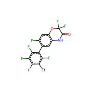 CCc1c(F)c(F)c(F)c(-c2cc3c(cc2F)OC(F)(F)C(=O)N3)c1F